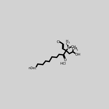 CCCCCCCCCCCCCCCCCC(=O)C(C=CCl)(CC(C)O)N(C)C.Cl